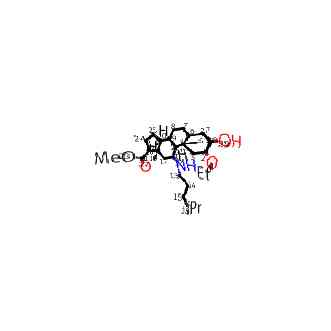 CCOC1C[C@@]2(C)C(CC[C@@H]3[C@H]2C(NCCCC(C)C)C[C@]2(C)C(C(=O)OC)CC[C@@H]32)CC1O